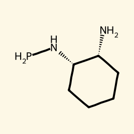 N[C@@H]1CCCC[C@@H]1NP